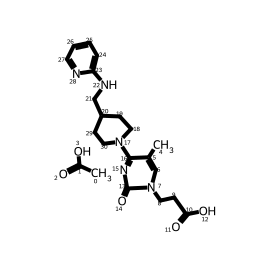 CC(=O)O.Cc1cn(CCC(=O)O)c(=O)nc1N1CCC(CNc2ccccn2)CC1